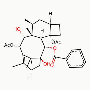 CC(=O)O[C@H]1C2=C(C)[C@@H](C)C[C@@](O)([C@@H](OC(=O)c3ccccc3)[C@@H]3[C@]4(OC(C)=O)CC[C@@H]4C[C@H](C)[C@@]3(C)[C@H]1O)C2(C)C